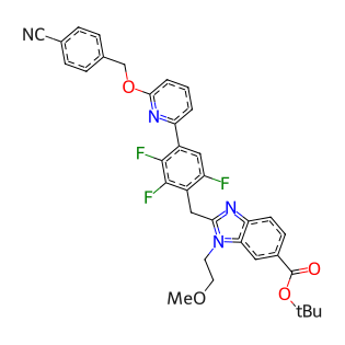 COCCn1c(Cc2c(F)cc(-c3cccc(OCc4ccc(C#N)cc4)n3)c(F)c2F)nc2ccc(C(=O)OC(C)(C)C)cc21